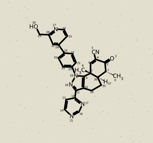 C[C@H]1C(=O)C(C#N)=C[C@@]2(C)c3c(c(-c4ccncn4)nn3-c3ccc(-c4ccnc(CO)c4)cc3)CC[C@H]12